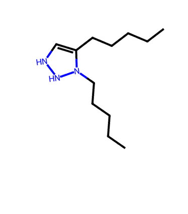 CCCCCC1=CNNN1CCCCC